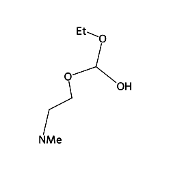 CCOC(O)OCCNC